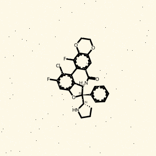 NC(=O)c1cc2c(c(F)c1-c1c(Cl)c(F)cc3c1C[C@](c1ccccc1)([C@@H]1CCCN1)O3)OCCO2